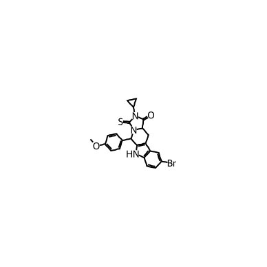 COc1ccc(C2c3[nH]c4ccc(Br)cc4c3CC3C(=O)N(C4CC4)C(=S)N32)cc1